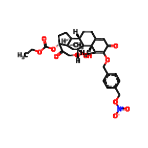 CCOC(=O)O[C@@]12CC[C@H]3[C@@H]4CCC5=CC(=O)C(OCc6ccc(CO[N+](=O)[O-])cc6)=C(OCC1=O)[C@]5(C)C4[C@H](O)C[C@]32C